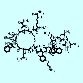 CC(=O)N[C@H](CCCNC(=N)N)C(=O)N[C@H]1CCSC[C@@H](C(=O)N[C@@H](Cc2ccc(OCCN)cc2)C(=O)N[C@@H](Cc2ccc3ccccc3c2)C(=O)NC2(C(=O)N[C@@H](CCC(=O)O)C(=O)N[C@@H](CC(N)=O)C(=O)N[C@@H](CC(N)=O)C(N)=O)CCOCC2)NC(=O)[C@H](CCC(N)=O)NC(=O)[C@H](Cc2c[nH]c3ccccc23)NC(=O)[C@H](C(C)OC(C)(C)C)NC(=O)[C@H](CC(=O)C(N)=O)NC1=O